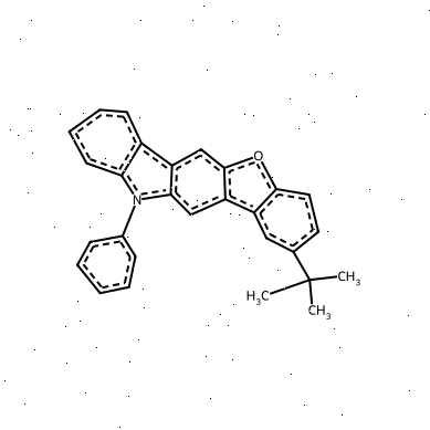 CC(C)(C)c1ccc2oc3cc4c5ccccc5n(-c5ccccc5)c4cc3c2c1